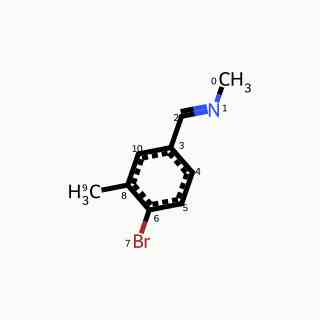 CN=Cc1ccc(Br)c(C)c1